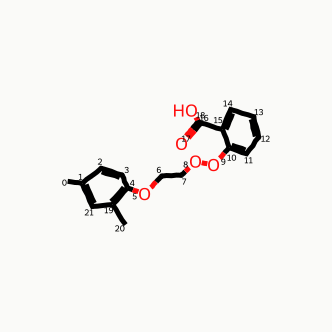 Cc1ccc(OCCOOc2ccccc2C(=O)O)c(C)c1